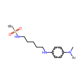 CC(=O)N(C)c1ccc(NCCCCCNS(=O)(=O)C(C)(C)C)cc1